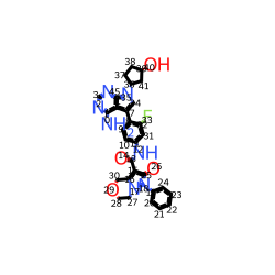 Nc1ncnc2c1c(-c1ccc(NC(=O)c3c4n(n(-c5ccccc5)c3=O)CCOC4)cc1F)cn2[C@H]1CC[C@@H](O)C1